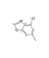 Clc1cc(I)cc2ocnc12